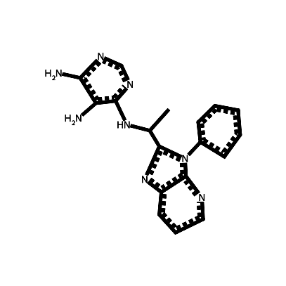 CC(Nc1ncnc(N)c1N)c1nc2cccnc2n1-c1ccccc1